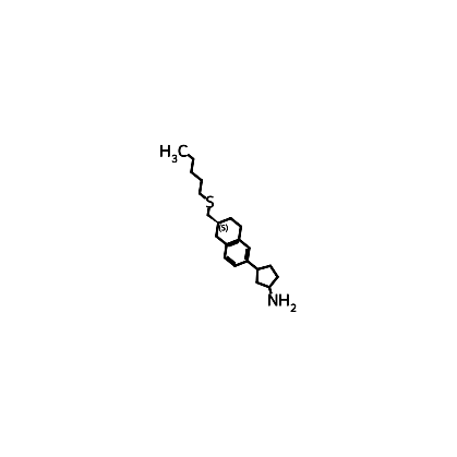 CCCCCSC[C@H]1CCc2cc(C3CCC(N)C3)ccc2C1